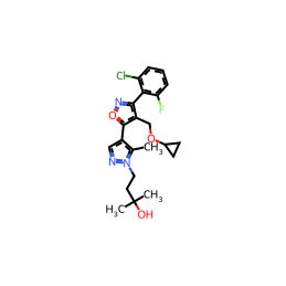 Cc1c(-c2onc(-c3c(F)cccc3Cl)c2COC2CC2)cnn1CCC(C)(C)O